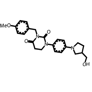 COc1ccc(CN2C(=O)CCN(c3ccc(N4CCC(CO)C4)cc3)C2=O)cc1